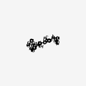 COC(=O)N[C@@H](C(=O)N1CC2(CCC1c1nc3ccc(-c4ccc5c(c4)C(F)(F)c4cc(-c6cnc(C7CCCN7C(=O)OC(C)(C)C)[nH]6)ccc4-5)cc3[nH]1)OCCO2)c1ccccc1